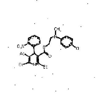 CCC1=C(C(C)=O)C(c2ccccc2[N+](=O)[O-])C(C(=O)OCCN(C)c2ccc(Cl)cc2)=C(CC)N1